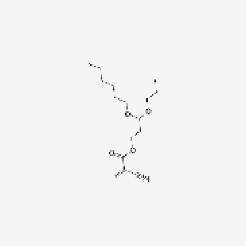 C=C(C#N)C(=O)OCCC(OCCC)OCCCCCC